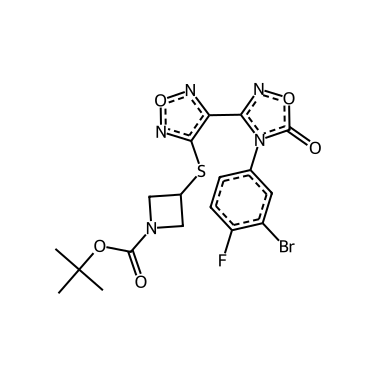 CC(C)(C)OC(=O)N1CC(Sc2nonc2-c2noc(=O)n2-c2ccc(F)c(Br)c2)C1